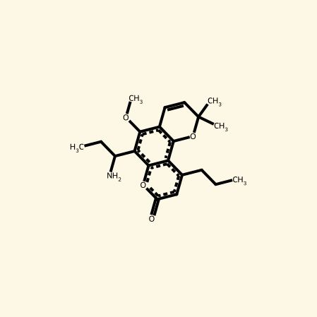 CCCc1cc(=O)oc2c(C(N)CC)c(OC)c3c(c12)OC(C)(C)C=C3